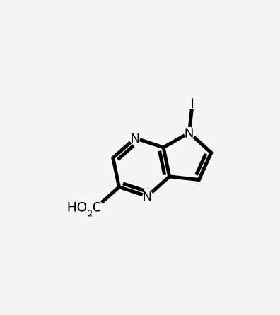 O=C(O)c1cnc2c(ccn2I)n1